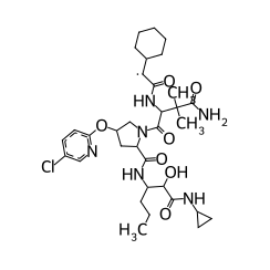 CCCC(NC(=O)C1CC(Oc2ccc(Cl)cn2)CN1C(=O)C(NC(=O)[CH]C1CCCCC1)C(C)(C)C(N)=O)C(O)C(=O)NC1CC1